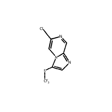 FC(F)(F)Sc1cnc2cnc(Cl)cn12